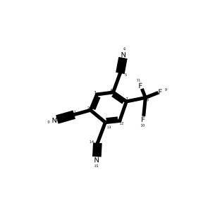 N#Cc1cc(C#N)c(C(F)(F)F)cc1C#N